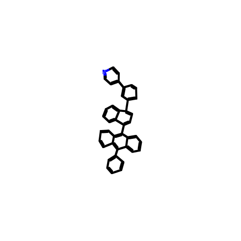 c1ccc(-c2c3ccccc3c(-c3ccc(-c4cccc(-c5ccncc5)c4)c4ccccc34)c3ccccc23)cc1